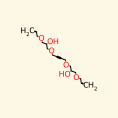 C=CCOCC(O)COCC#CCOCC(O)COCC=C